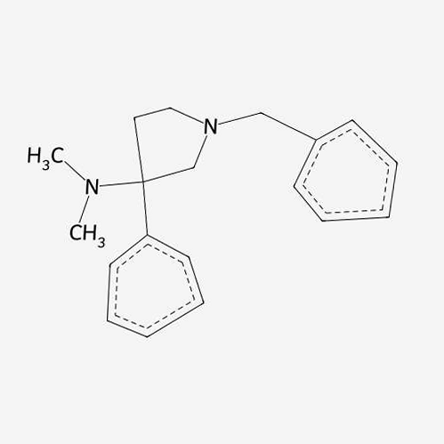 CN(C)C1(c2ccccc2)CCN(Cc2ccccc2)C1